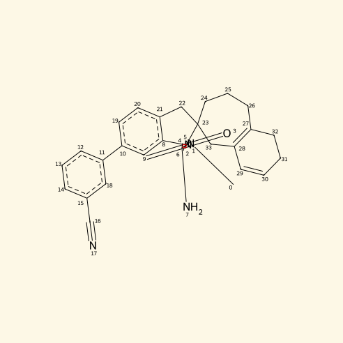 CN1C(=O)C2(N=C1N)c1cc(-c3cccc(C#N)c3)ccc1CC21CCCC2=C(C=CCC2)C1